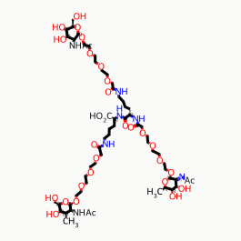 CC(=O)/N=C1\C(O)[C@@H](O)[C@@H](C)O[C@H]1OCCOCCOCCOCC(=O)N[C@@H](CCCCNC(=O)COCCOCCOCCO[C@@H]1O[C@H](CO)[C@H](O)[C@H](O)C1NC(C)=O)C(=O)N[C@@H](CCCCNC(=O)COCCOCCOCCO[C@@H]1O[C@H](CO)[C@H](O)[C@H](C)C1NC(C)=O)C(=O)O